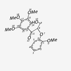 COc1ccccc1OC(CO)C(=O)c1cc(OC)c(OC)c(OC)c1